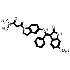 CN(C)C(=O)CC(=O)N1CCc2cc(N/C(=C3\C(=O)Nc4cc(C(=O)O)ccc43)c3ccccc3)ccc21